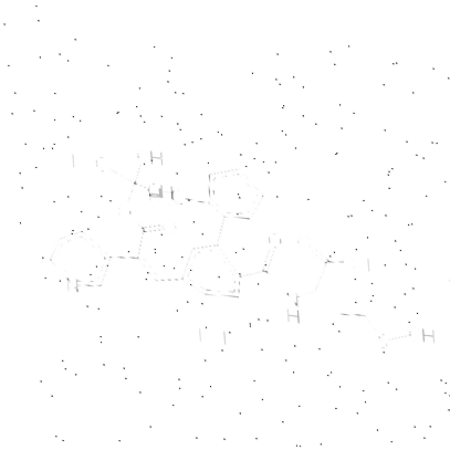 CSCC[C@H](NC(=O)c1ccc(C=C(C(=O)OC(C)(C)C)c2cccnc2)cc1-c1ccccc1C)C(=O)O.[LiH]